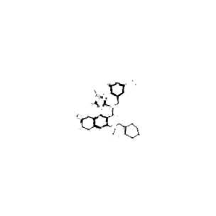 CCN(CC1CCCCC1)c1cc2c(cc1CN(Cc1cc(C#N)cc(C(F)(F)F)c1)c1ncn(C)n1)CCCC2.O=C(O)O